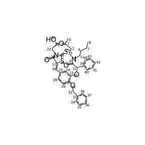 CCCCN(CCCC)C(=O)C(Oc1cc(C=C2SC(=S)N(CC(=O)O)C2=O)ccc1OCc1ccccc1)c1ccccc1